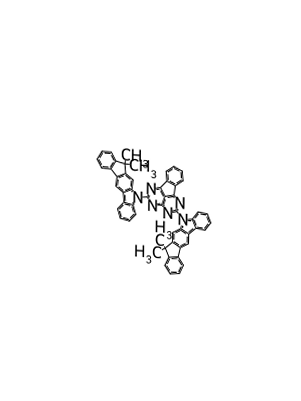 CC1(C)c2ccccc2-c2cc3c4ccccc4n(-c4nc5c6c(nc(-n7c8ccccc8c8cc9c(cc87)C(C)(C)c7ccccc7-9)nc6n4)-c4ccccc4-5)c3cc21